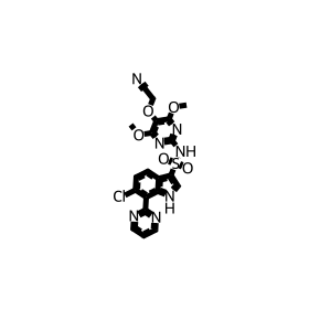 COc1nc(NS(=O)(=O)c2c[nH]c3c(-c4ncccn4)c(Cl)ccc23)nc(OC)c1OCC#N